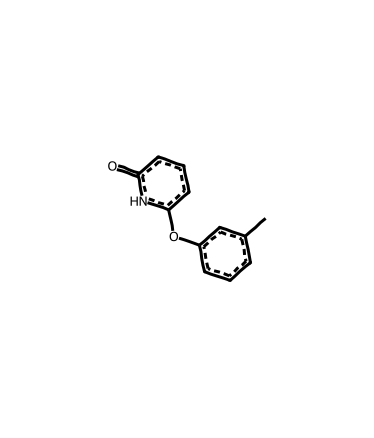 Cc1cccc(Oc2cccc(=O)[nH]2)c1